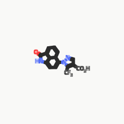 O=C1NC2=CC=C(n3ncc(C(=O)O)c3C(F)(F)F)C3C=CC=C1C23